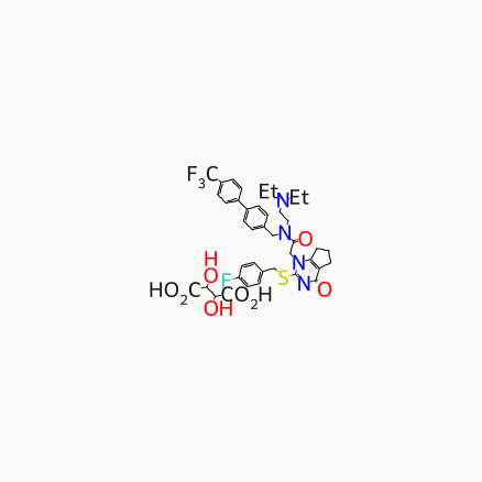 CCN(CC)CCN(Cc1ccc(-c2ccc(C(F)(F)F)cc2)cc1)C(=O)Cn1c(SCc2ccc(F)cc2)nc(=O)c2c1CCC2.O=C(O)C(O)C(O)C(=O)O